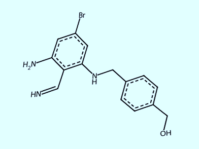 N=Cc1c(N)cc(Br)cc1NCc1ccc(CO)cc1